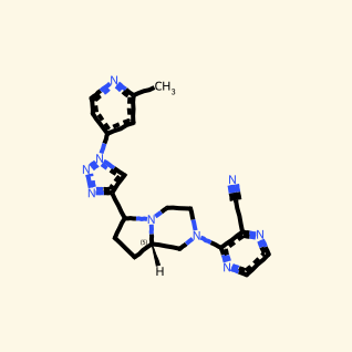 Cc1cc(-n2cc(C3CC[C@H]4CN(c5nccnc5C#N)CCN34)nn2)ccn1